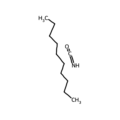 CCCCCCCCCC.N=C=O